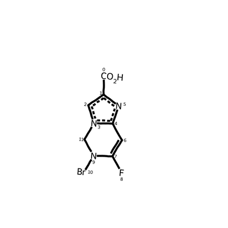 O=C(O)c1cn2c(n1)C=C(F)N(Br)C2